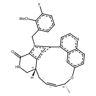 COc1c(F)cccc1Cn1c2nc3c1C(=O)NC[C@H]3C/C=C\[C@@H](C)Oc1ccc3nccc-2c3c1